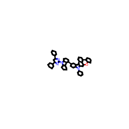 c1ccc(-c2cc(-c3ccccc3)nc(-n3c4ccccc4c4c(-c5ccc6c(c5)c5c7cccc8c7c(cc5n6-c5ccccc5)Oc5ccccc5-8)cccc43)n2)cc1